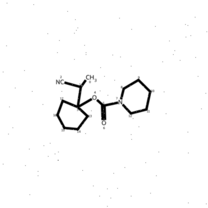 CC(C#N)C1(OC(=O)N2CCCCC2)CCCCC1